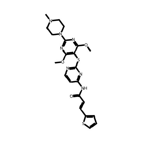 COc1nc(N2CCN(C)CC2)nc(OC)c1Sc1nccc(NC(=O)C=Cc2cccs2)n1